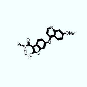 COc1ccc2c(Oc3ccc4c(C(=O)NC(C)C)c(C)sc4c3)ccnc2c1